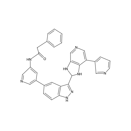 O=C(Cc1ccccc1)Nc1cncc(-c2ccc3[nH]nc(C4Nc5cncc(-c6cccnc6)c5N4)c3c2)c1